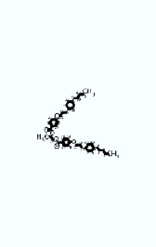 CCCCC[C@H]1CC[C@H](/C=C/COc2ccc(C(=O)OC[C@@H](C)OC(=O)c3ccc(OC/C=C/[C@H]4CC[C@H](CCCCC)CC4)cc3)cc2)CC1